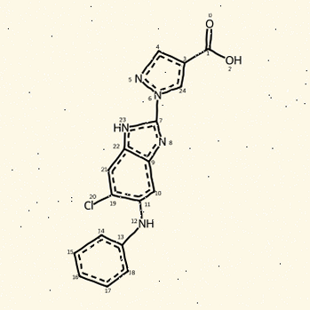 O=C(O)c1cnn(-c2nc3cc(Nc4ccccc4)c(Cl)cc3[nH]2)c1